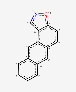 c1ccc2cc3c(ccc4oncc43)cc2c1